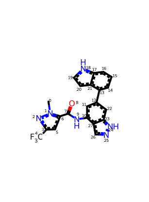 Cn1nc(C(F)(F)F)cc1C(=O)Nc1cc(-c2cccc3[nH]ccc23)cc2[nH]ncc12